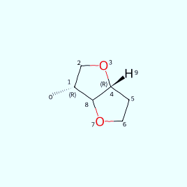 C[C@@H]1CO[C@@H]2CCOC12